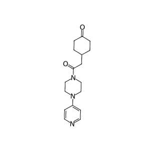 O=C1CCC(CC(=O)N2CCN(c3ccncc3)CC2)CC1